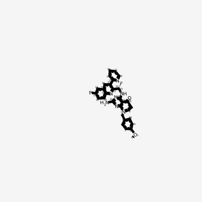 COc1ccc(Cn2ccc(=O)c3c(N[C@@H](C)c4nc5ccc(F)cc5cc4-c4ccccn4)nc(N)nc32)cc1